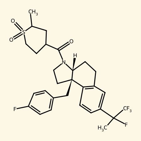 CC1CC(C(=O)N2CC[C@@]3(Cc4ccc(F)cc4)c4ccc(C(C)(F)C(F)(F)F)cc4CC[C@@H]23)CCS1(=O)=O